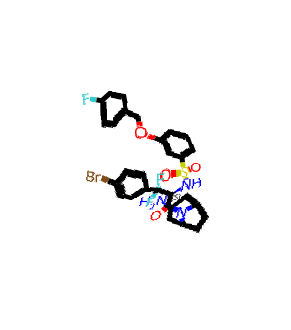 NC1CC2CCC(C1)N2C(=O)[C@H](NS(=O)(=O)c1cccc(OCc2ccc(F)cc2)c1)C(F)(F)c1ccc(Br)cc1